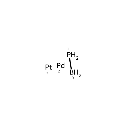 BP.[Pd].[Pt]